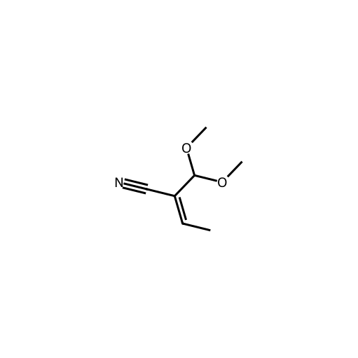 C/C=C(/C#N)C(OC)OC